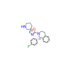 Fc1ccc([C@H]2c3ccccc3CCN2C2=NC[C@@]3(CCCNC3)O2)cc1